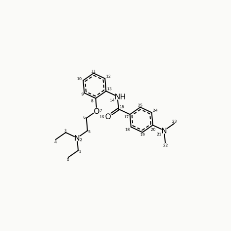 CCN(CC)CCOc1ccccc1NC(=O)c1ccc(N(C)C)cc1